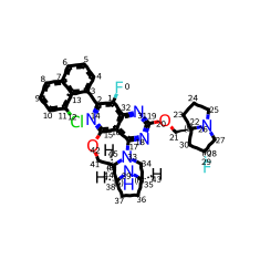 Fc1c(-c2cccc3cccc(Cl)c23)nc2c3c(nc(OC[C@@]45CCCN4C[C@H](F)C5)nc13)N1C[C@H]3CC[C@H](N3)[C@H]1CO2